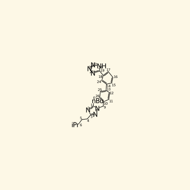 CCCCc1nc(CCC(C)C)nn1Cc1ccc(-c2cccc(-c3nnn[nH]3)c2)cc1